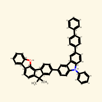 CC1(C)c2cc(-c3ccc4c(c3)c3cc(-c5ccc(-c6ccccc6)cc5)ccc3n4-c3ccccc3)ccc2-c2c1ccc1c2oc2ccccc21